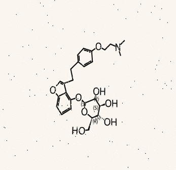 CN(C)CCOc1ccc(CCc2coc3cccc(O[C@@H]4O[C@H](CO)[C@@H](O)[C@H](O)[C@H]4O)c23)cc1